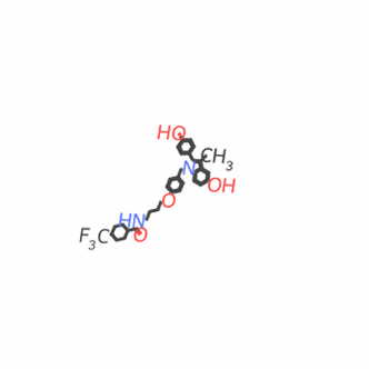 Cc1c(-c2ccc(O)cc2)n(Cc2ccc(OCCCCNC(=O)C3CCC(C(F)(F)F)CC3)cc2)c2ccc(O)cc12